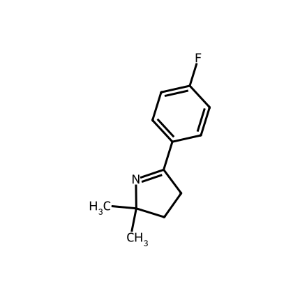 CC1(C)CCC(c2ccc(F)cc2)=N1